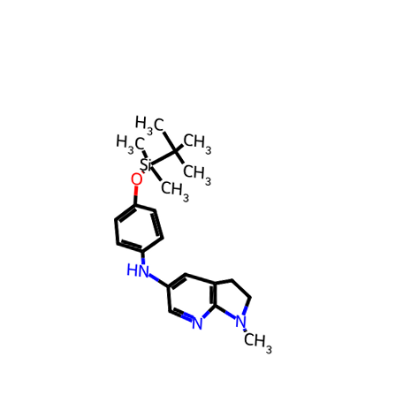 CN1CCc2cc(Nc3ccc(O[Si](C)(C)C(C)(C)C)cc3)cnc21